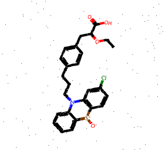 CCOC(Cc1ccc(CCCN2c3ccccc3[S+]([O-])c3ccc(Cl)cc32)cc1)C(=O)O